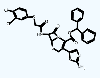 Nc1ncc(C2=C(C(=O)OC(c3ccccc3)c3ccccc3)N3C(=O)C(NC(=O)CSc4ccc(Cl)c(Cl)c4)C3SC2)s1